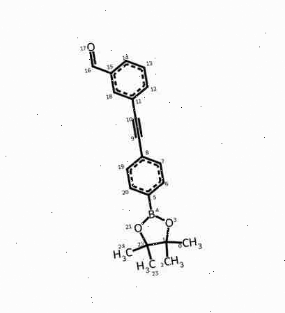 CC1(C)OB(c2ccc(C#Cc3cccc(C=O)c3)cc2)OC1(C)C